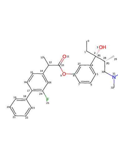 CC[C@](O)(c1cccc(OC(=O)C(C)c2ccc(-c3ccccc3)c(F)c2)c1)[C@H](C)CN(C)C